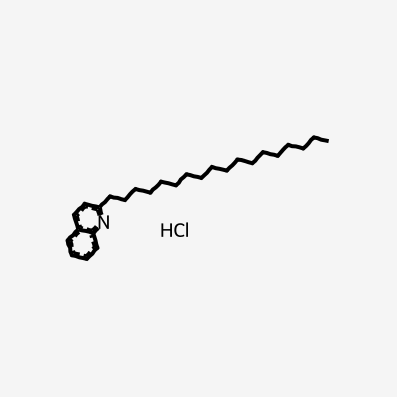 CCCCCCCCCCCCCCCCCCc1ccc2ccccc2n1.Cl